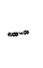 c1cc2c(cc1OCCCN1CCN3CCCC3C1)CCC(CN1CCCC1)C2